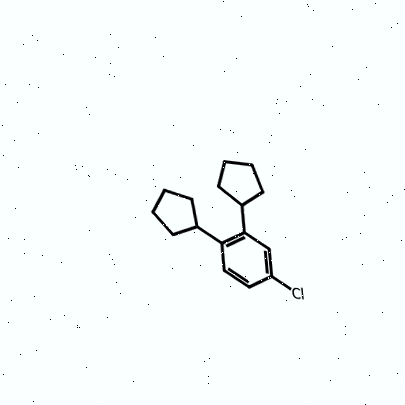 Clc1ccc(C2CCCC2)c(C2CCCC2)c1